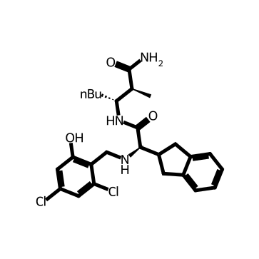 CCCC[C@@H](NC(=O)[C@H](NCc1c(O)cc(Cl)cc1Cl)C1Cc2ccccc2C1)[C@H](C)C(N)=O